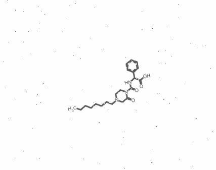 CCCCCCCCN1CCN(C(=O)NC(C(=O)O)c2ccccc2)C(=O)C1